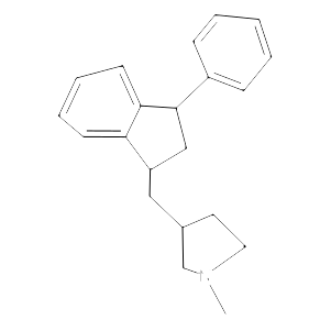 CN1CCC(CC2CC(c3ccccc3)c3ccccc32)C1